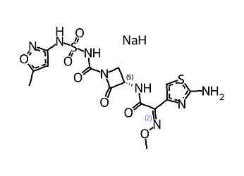 CO/N=C(\C(=O)N[C@H]1CN(C(=O)NS(=O)(=O)Nc2cc(C)on2)C1=O)c1csc(N)n1.[NaH]